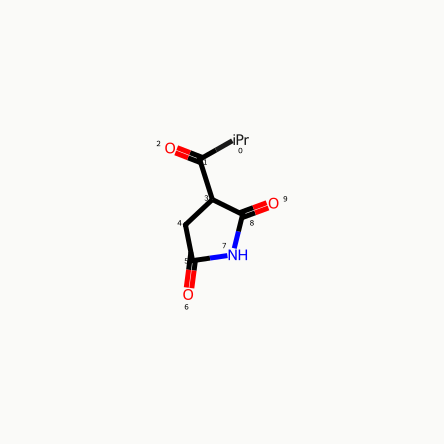 CC(C)C(=O)C1CC(=O)NC1=O